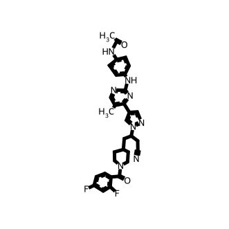 CC(=O)Nc1ccc(Nc2ncc(C)c(-c3cnn(C(CC#N)CC4CCN(C(=O)c5ccc(F)cc5F)CC4)c3)n2)cc1